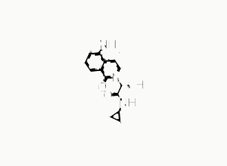 C[C@H](C(=O)NC1CC1)n1ccc2c(N)cccc2c1=O